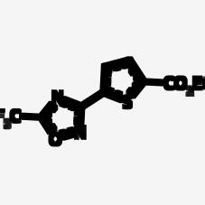 CCOC(=O)c1ccc(-c2noc(C(F)(F)F)n2)s1